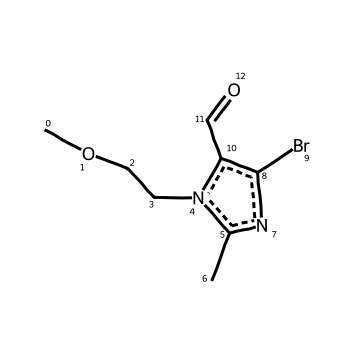 COCCn1c(C)nc(Br)c1C=O